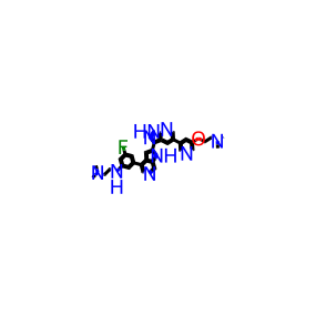 CN(C)CCNc1cc(F)cc(-c2cncc3[nH]c(-c4n[nH]c5ncc(-c6cncc(OCCN(C)C)c6)cc45)cc23)c1